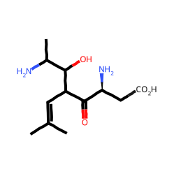 CC(C)=CC(C(=O)[C@@H](N)CC(=O)O)C(O)C(C)N